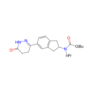 CCCN(C(=O)OCC(C)C)C1Cc2ccc(C3=NNC(=O)CC3)cc2C1